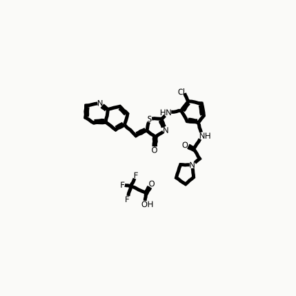 O=C(CN1CCCC1)Nc1ccc(Cl)c(NC2=NC(=O)/C(=C/c3ccc4ncccc4c3)S2)c1.O=C(O)C(F)(F)F